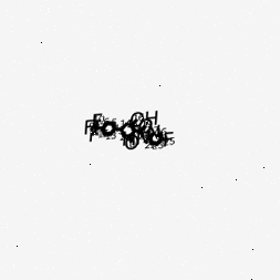 O=C1CC(c2ccc(C(F)(F)F)cc2)CC(O)=C1C(=O)Nc1ccc(F)cn1